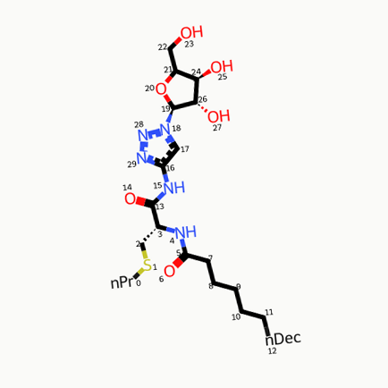 [CH2][CH]CSC[C@@H](NC(=O)CCCCCCCCCCCCCCC)C(=O)Nc1cn([C@H]2OC(CO)[C@@H](O)[C@@H]2O)nn1